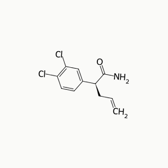 C=CC[C@H](C(N)=O)c1ccc(Cl)c(Cl)c1